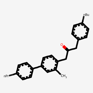 CCCCc1ccc(CC(=O)Cc2ccc(-c3ccc(CCC)cc3)cc2C)cc1